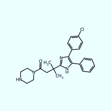 CC(C)(CC(=O)N1CCNCC1)c1nc(-c2ccc(Cl)cc2)c(-c2ccccc2)[nH]1